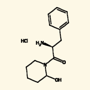 Cl.N[C@@H](Cc1ccccc1)C(=O)N1CCCCC1O